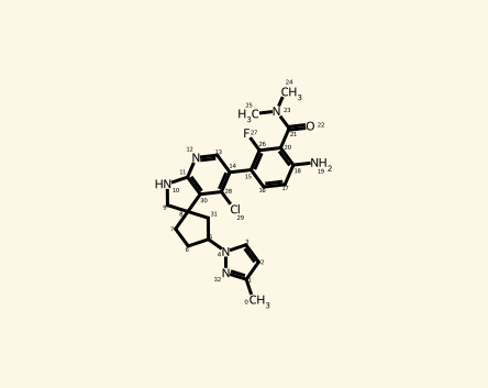 Cc1ccn(C2CCC3(CNc4ncc(-c5ccc(N)c(C(=O)N(C)C)c5F)c(Cl)c43)C2)n1